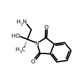 C[C@](O)(CN)N1C(=O)c2ccccc2C1=O